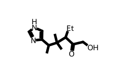 CCC(C(=O)CO)C(C)(C)C(C)c1c[nH]cn1